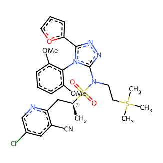 COc1cccc(OC)c1-n1c(-c2ccco2)nnc1N(CCS(C)(C)C)S(=O)(=O)[C@@H](C)Cc1ncc(Cl)cc1C#N